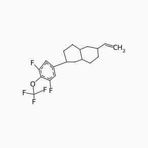 C=CC1CCC2CC(c3cc(F)c(OC(F)(F)F)c(F)c3)CCC2C1